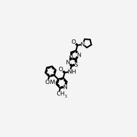 COc1ccccc1-c1cc(C)ncc1C(=O)Nc1nn2cc(C(=O)N3CCCC3)nc2s1